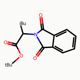 CCC(C)C(C(=O)OC(C)(C)C)N1C(=O)c2ccccc2C1=O